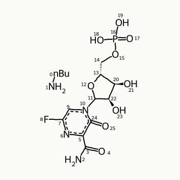 CCCCN.NC(=O)c1nc(F)cn(C2O[C@H](COP(=O)(O)O)[C@@H](O)[C@H]2O)c1=O